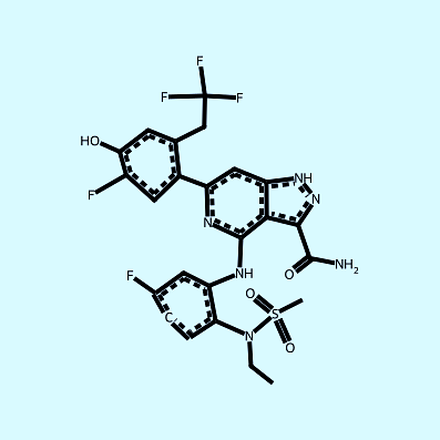 CCN(c1ccc(F)cc1Nc1nc(-c2cc(F)c(O)cc2CC(F)(F)F)cc2[nH]nc(C(N)=O)c12)S(C)(=O)=O